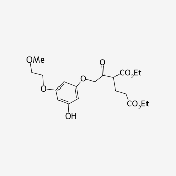 CCOC(=O)CCC(C(=O)COc1cc(O)cc(OCCOC)c1)C(=O)OCC